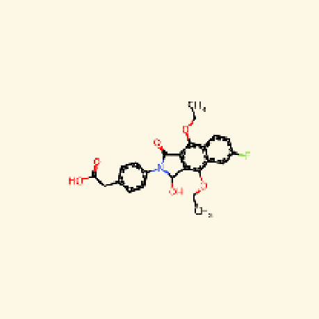 CCOc1c2c(c(OCC)c3cc(F)ccc13)C(O)N(c1ccc(CC(=O)O)cc1)C2=O